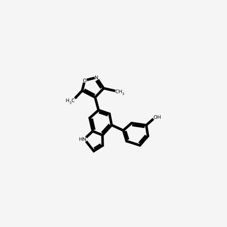 Cc1noc(C)c1-c1cc(-c2cccc(O)c2)c2cc[nH]c2c1